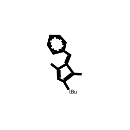 CC1=CC(C(C)(C)C)=C(C)C1=Cc1ccccc1